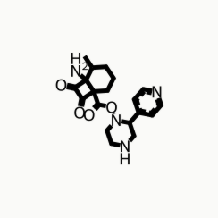 CC1CCCC2(C(=O)ON3CCNCC3c3ccncc3)C(=O)C(=O)C12N